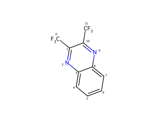 FC(F)(F)c1nc2ccccc2nc1C(F)(F)F